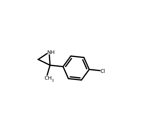 CC1(c2ccc(Cl)cc2)CN1